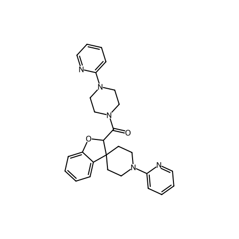 O=C(C1Oc2ccccc2C12CCN(c1ccccn1)CC2)N1CCN(c2ccccn2)CC1